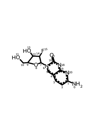 Nc1ccc2cn(C3OC(CO)C(O)C3F)c(=O)nc2n1